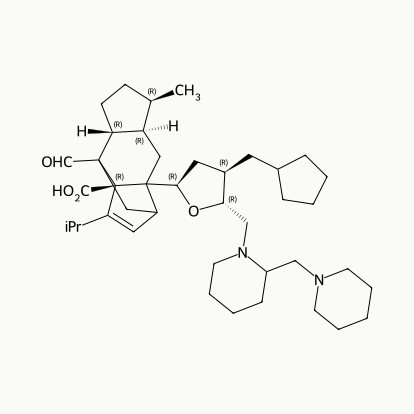 CC(C)C1=CC2CC3(C=O)[C@@H]4CC[C@@H](C)[C@H]4CC2([C@H]2C[C@@H](CC4CCCC4)[C@H](CN4CCCCC4CN4CCCCC4)O2)[C@]13C(=O)O